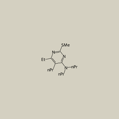 CCCc1c(CC)nc(SC)nc1N(CCC)CCC